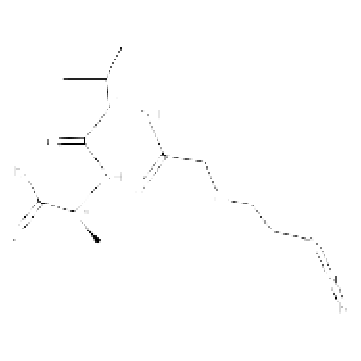 CC(C)[C@H](NC(=O)COCCN=[N+]=[N-])C(=O)N[C@@H](C)C(=O)S